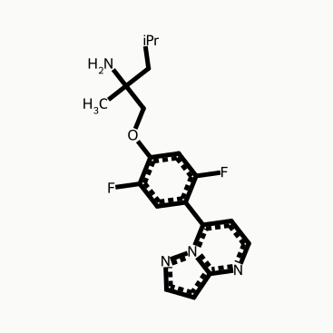 CC(C)CC(C)(N)COc1cc(F)c(-c2ccnc3ccnn23)cc1F